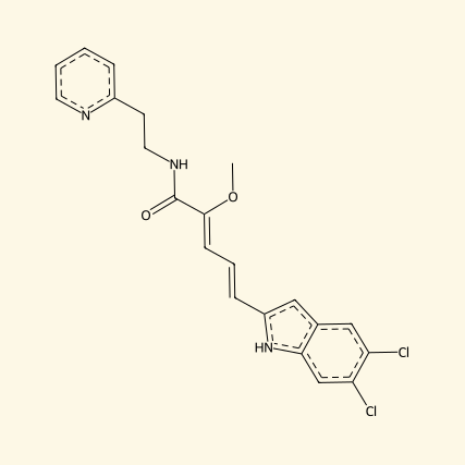 COC(=CC=Cc1cc2cc(Cl)c(Cl)cc2[nH]1)C(=O)NCCc1ccccn1